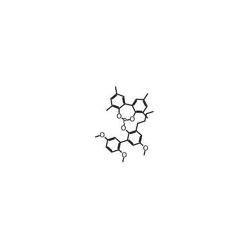 CCCCc1cc(OC)cc(-c2cc(OC)ccc2OC)c1Op1oc2c(C)cc(C)cc2c2cc(C)cc(C)c2o1